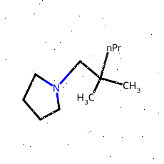 CCCC(C)(C)CN1CCCC1